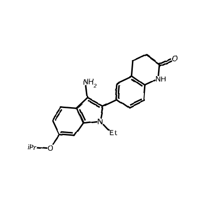 CCn1c(-c2ccc3c(c2)CCC(=O)N3)c(N)c2ccc(OC(C)C)cc21